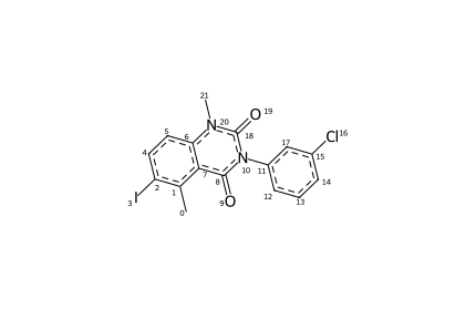 Cc1c(I)ccc2c1c(=O)n(-c1cccc(Cl)c1)c(=O)n2C